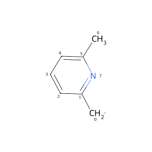 [CH2]c1cccc(C)n1